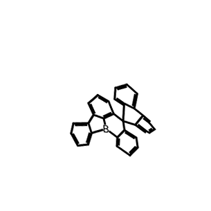 c1ccc2c(c1)B1c3ccccc3C3(c4ccccc4-c4ccccc43)c3cccc-2c31